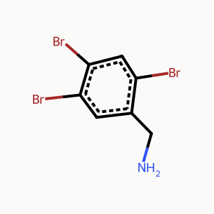 NCc1cc(Br)c(Br)cc1Br